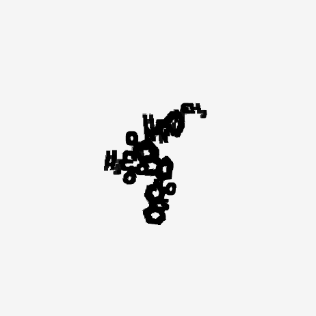 CC(=O)OCc1c(-c2cc(Nc3cc4n(n3)CCN(C)C4)c(=O)n(C)c2)cccc1N1CCc2c(sc3c2CCCC3)C1=O